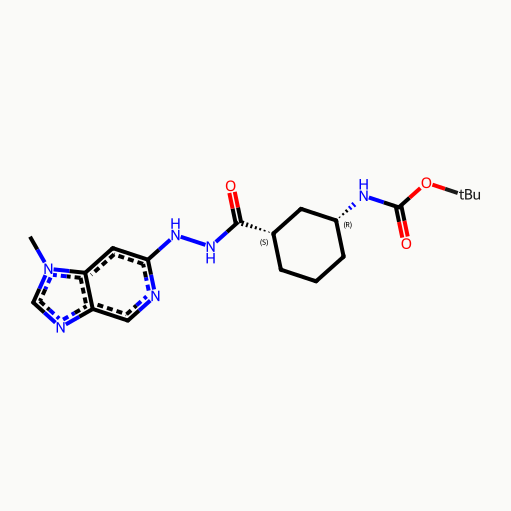 Cn1cnc2cnc(NNC(=O)[C@H]3CCC[C@@H](NC(=O)OC(C)(C)C)C3)cc21